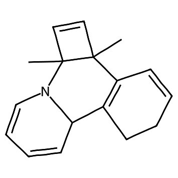 CC12C=CC1(C)N1C=CC=CC1C1=C2C=CCC1